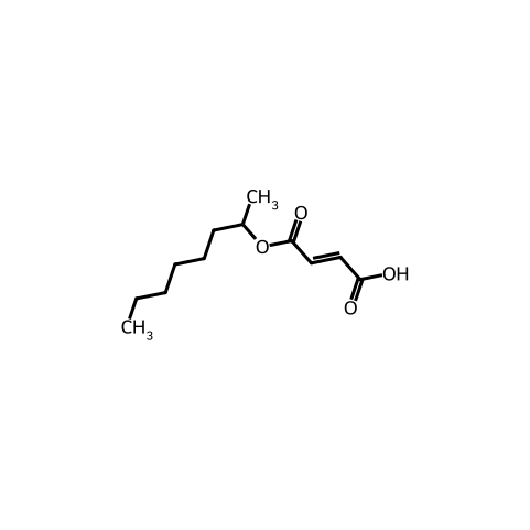 CCCCCCC(C)OC(=O)C=CC(=O)O